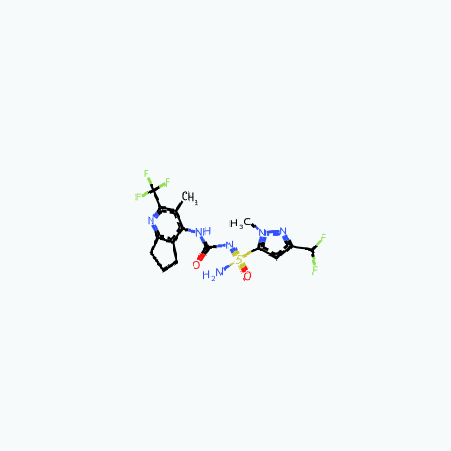 Cc1c(C(F)(F)F)nc2c(c1NC(=O)N=[S@@](N)(=O)c1cc(C(F)F)nn1C)CCC2